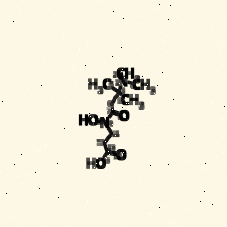 CN(C)C(C)(C)CC(=O)N(O)CCC(=O)O